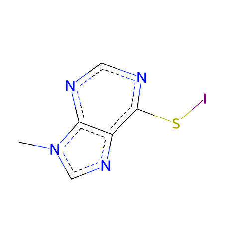 Cn1cnc2c(SI)ncnc21